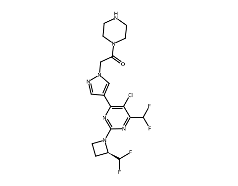 O=C(Cn1cc(-c2nc(N3CC[C@@H]3C(F)F)nc(C(F)F)c2Cl)cn1)N1CCNCC1